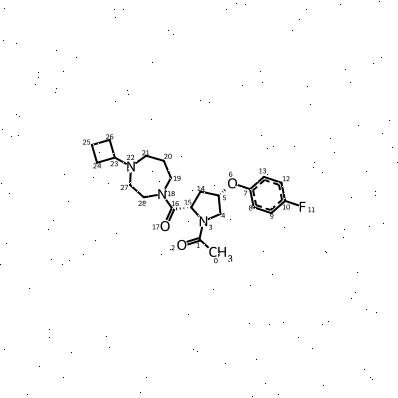 CC(=O)N1C[C@@H](Oc2ccc(F)cc2)C[C@H]1C(=O)N1CCCN(C2CCC2)CC1